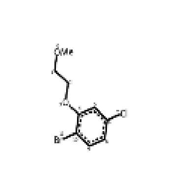 COCCOc1cc(Cl)ccc1Br